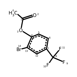 CC(=O)Oc1ccc(C(F)(F)F)cc1Br